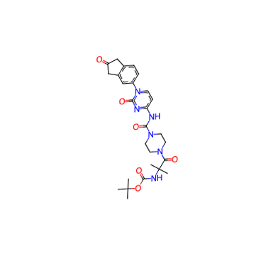 CC(C)(C)OC(=O)NC(C)(C)C(=O)N1CCN(C(=O)Nc2ccn(-c3ccc4c(c3)CC(=O)C4)c(=O)n2)CC1